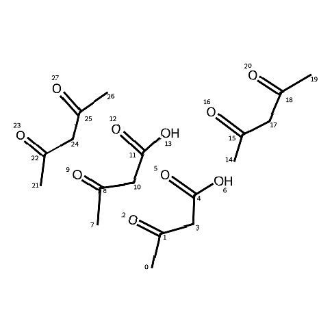 CC(=O)CC(=O)O.CC(=O)CC(=O)O.CC(=O)CC(C)=O.CC(=O)CC(C)=O